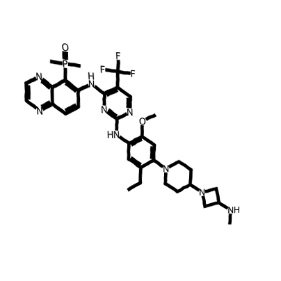 CCc1cc(Nc2ncc(C(F)(F)F)c(Nc3ccc4nccnc4c3P(C)(C)=O)n2)c(OC)cc1N1CCC(N2CC(NC)C2)CC1